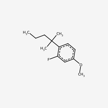 CCCC(C)(C)c1ccc(OC)cc1F